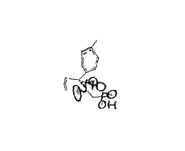 C=CC(c1ccc(C)cc1)S(=O)(=O)CP(=O)(O)O